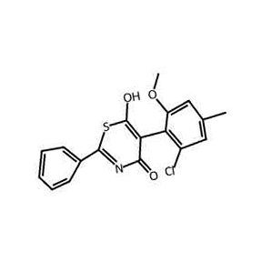 COc1cc(C)cc(Cl)c1-c1c(O)sc(-c2ccccc2)nc1=O